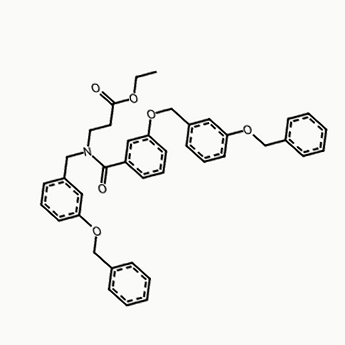 CCOC(=O)CCN(Cc1cccc(OCc2ccccc2)c1)C(=O)c1cccc(OCc2cccc(OCc3ccccc3)c2)c1